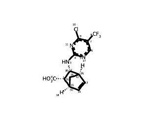 O=C(O)[C@@H]1[C@H](Nc2ncc(C(F)(F)F)c(Cl)n2)[C@H]2C=C[C@@H]1C2